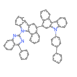 c1ccc(-c2ccc(-n3c4ccccc4c4c5ccccc5c(-c5cc6c7ccccc7n(-c7nc(-c8ccccc8)c8ccccc8n7)c6c6ccccc56)cc43)cc2)cc1